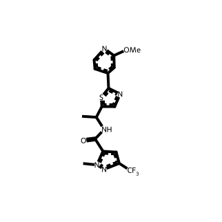 COc1cc(-c2ncc(C(C)NC(=O)c3cc(C(F)(F)F)nn3C)s2)ccn1